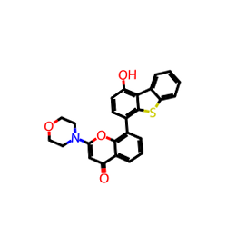 O=c1cc(N2CCOCC2)oc2c(-c3ccc(O)c4c3sc3ccccc34)cccc12